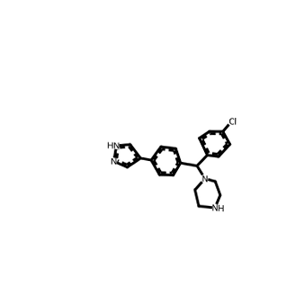 Clc1ccc(C(c2ccc(-c3cn[nH]c3)cc2)N2CCNCC2)cc1